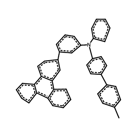 Cc1ccc(-c2ccc(N(c3ccccc3)c3cccc(-c4ccc5c6ccccc6c6ccccc6c5c4)c3)cc2)cc1